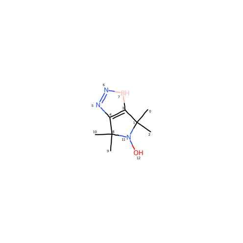 CC1(C)C2=C(N=NB2)C(C)(C)N1O